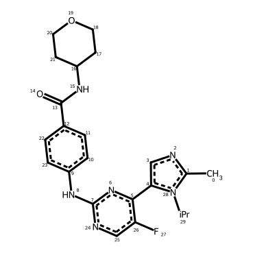 Cc1ncc(-c2nc(Nc3ccc(C(=O)NC4CCOCC4)cc3)ncc2F)n1C(C)C